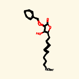 CCCCCCCCCCCCCCC=CCCC1OC(=O)C(OCc2ccccc2)=C1O